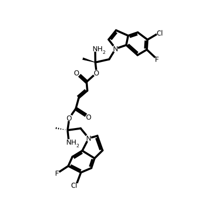 C[C@@](N)(Cn1ccc2cc(Cl)c(F)cc21)OC(=O)/C=C/C(=O)O[C@](C)(N)Cn1ccc2cc(Cl)c(F)cc21